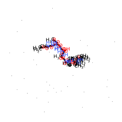 CC[C@H](C)[C@@H]([C@@H](CC(=O)N1CCC[C@H]1[C@H](OC)[C@@H](C)C(=O)N[C@@H](Cc1ccccc1)C(=O)NCCCOC(=O)C(C)NC(=O)CC(NC(=O)CCNC(=O)OCC(NC(=O)CNC(=O)CCNC(=O)CCOCC(C)(C)C)C(=O)NCCOC)C(=O)O)OC)N(C)C(=O)[C@H](NC(=O)[C@H](C(C)C)N(C)C)C(C)C